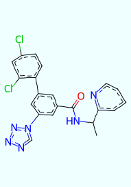 CC(NC(=O)c1cc(-c2ccc(Cl)cc2Cl)cc(-n2cnnn2)c1)c1ccccn1